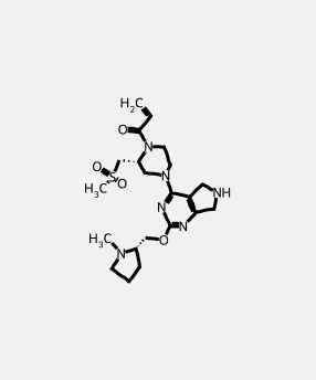 C=CC(=O)N1CCN(c2nc(OC[C@@H]3CCCN3C)nc3c2CNC3)C[C@@H]1CS(C)(=O)=O